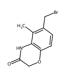 Cc1c(CBr)ccc2c1NC(=O)CO2